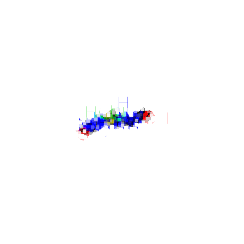 C[C@@H]1OCC2(CCN(c3cnc(Sc4ccnc(Nc5ccnc(N6CCC(C)(CO)CC6)n5)c4Cl)cn3)CC2)[C@@H]1N.Cl